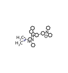 C=C/C=C(\C=C)c1cc(-n2c3ccc(-c4ccc5c(c4)Oc4ccccc4N5c4ccccc4)cc3c3c4ccccc4ccc32)nc(-c2ccccc2)n1